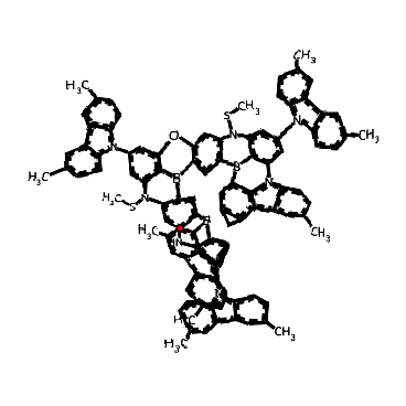 CSN1c2cc3c(cc2B2c4cc5c(cc4Oc4cc(-n6c7ccc(C)cc7c7cc(C)ccc76)cc1c42)N(SC)c1cc(-n2c4ccc(C)cc4c4cc(C)ccc42)cc2c1B5c1cc4c(c5c6cc(C)ccc6n-2c15)C4)B1c2c(cc(-n4c5ccc(C)cc5c5cc(C)ccc54)cc2-n2c4ccc(C)cc4c4cc(C)cc1c42)N3